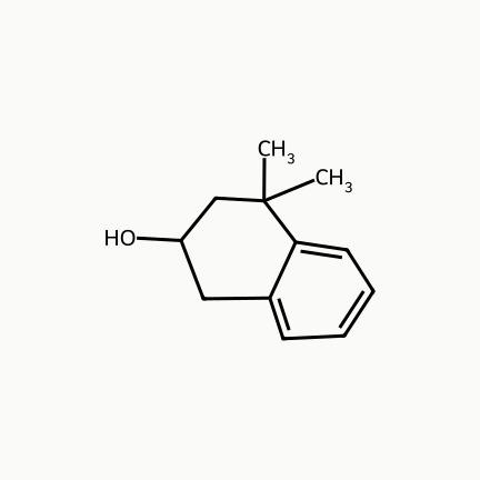 CC1(C)CC(O)Cc2ccccc21